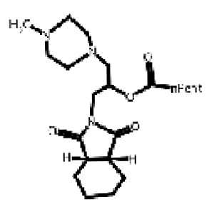 CCCCCC(=O)OC(CN1CCN(C)CC1)CN1C(=O)[C@H]2CCCC[C@H]2C1=O